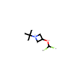 CC(C)(C)N1CC(OC(F)F)C1